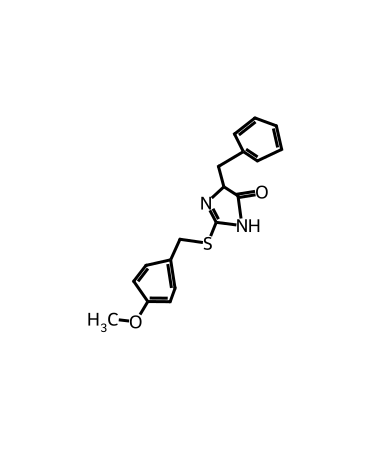 COc1ccc(CSC2=NC(Cc3ccccc3)C(=O)N2)cc1